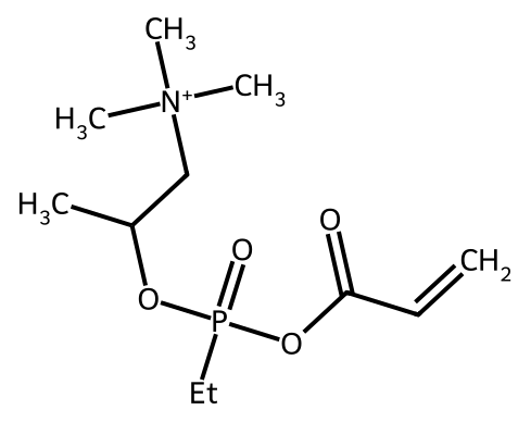 C=CC(=O)OP(=O)(CC)OC(C)C[N+](C)(C)C